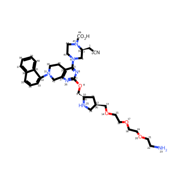 N#CC[C@H]1CN(c2nc(OC[C@@H]3C[C@@H](COCCOCCOCCN)CN3)nc3c2CCN(c2cccc4ccccc24)C3)CCN1C(=O)O